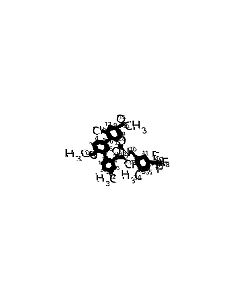 COc1ccc(-c2ccc(C(C)=O)cc2Cl)cc1-c1ccc(C)cc1C1OC(=O)N(Cc2cc(C)cc(C(F)(F)F)c2)[C@@H]1C